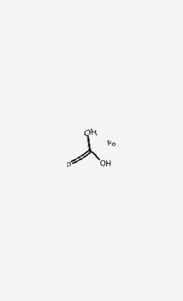 O=C(O)O.[Fe]